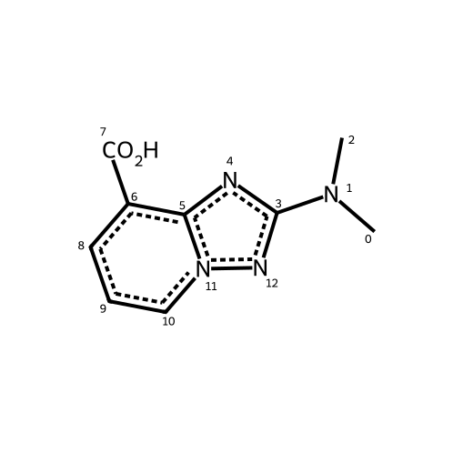 CN(C)c1nc2c(C(=O)O)cccn2n1